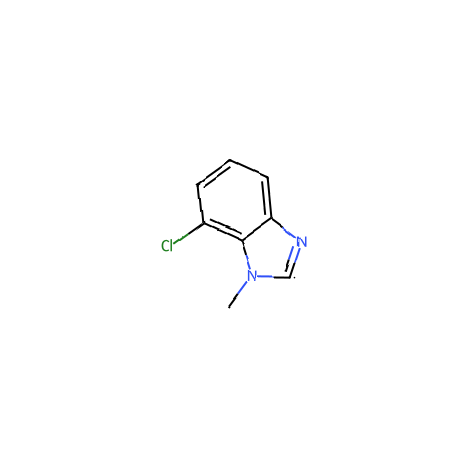 Cn1[c]nc2cccc(Cl)c21